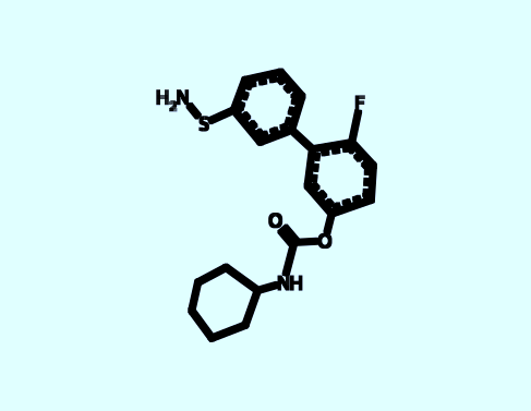 NSc1cccc(-c2cc(OC(=O)NC3CCCCC3)ccc2F)c1